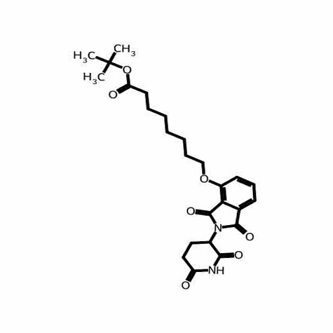 CC(C)(C)OC(=O)CCCCCCCOc1cccc2c1C(=O)N(C1CCC(=O)NC1=O)C2=O